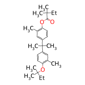 CCC(C)(C)Oc1ccc(C(C)(C)c2ccc(OC(=O)C(C)(C)CC)c(C)c2)cc1C